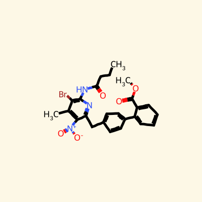 CCCC(=O)Nc1nc(Cc2ccc(-c3ccccc3C(=O)OC)cc2)c([N+](=O)[O-])c(C)c1Br